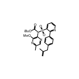 C=C(C)Cc1ccc(-c2ncccc2S(=O)(=O)N(C(=O)OCC(C)C)c2ncc(C)nc2OC)cc1